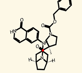 C[C@@]1(C(=O)N2[C@@H]3CC[C@H]2CC(Nc2ccc4c(=O)[nH]ccc4c2)C3)CCN(C(=O)OCc2ccccc2)C1